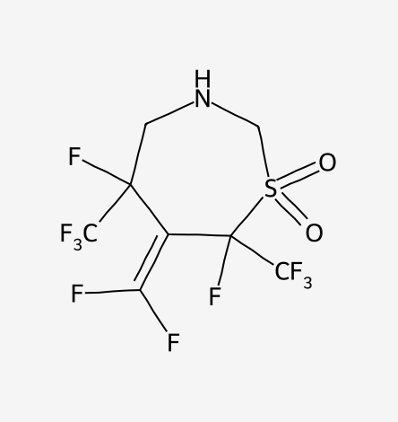 O=S1(=O)CNCC(F)(C(F)(F)F)C(=C(F)F)C1(F)C(F)(F)F